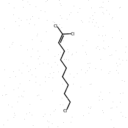 ClCCCCCCCC=C(Cl)Cl